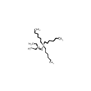 CCCCCC[Si](CCCCCC)(CCCCCC)[O][Al]([CH2]C)[CH2]C